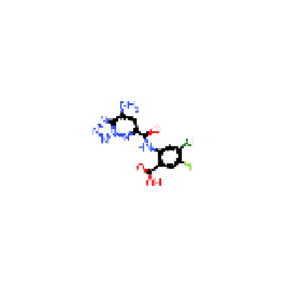 Nc1cc(C(=O)Nc2cc(Cl)c(F)cc2C(=O)O)nn2nnnc12